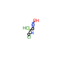 Cl.N#Cc1cc(Cl)ccc1CC[C@@H](F)c1cccc(N2CCN(CCO)CC2)c1